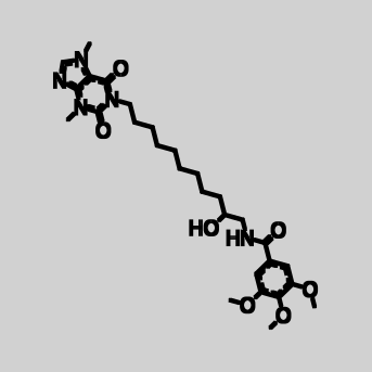 COc1cc(C(=O)NCC(O)CCCCCCCCCn2c(=O)c3c(ncn3C)n(C)c2=O)cc(OC)c1OC